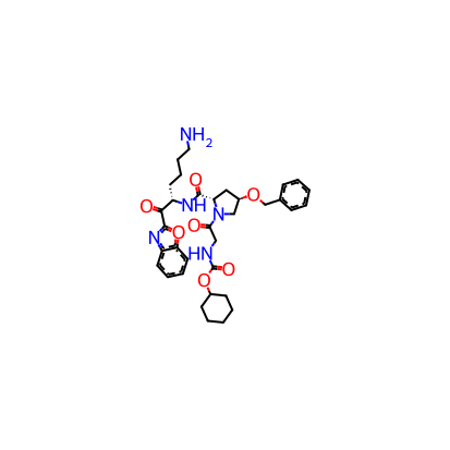 NCCCC[C@H](NC(=O)[C@@H]1C[C@@H](OCc2ccccc2)CN1C(=O)CNC(=O)OC1CCCCC1)C(=O)c1nc2ccccc2o1